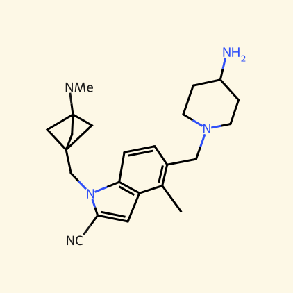 CNC12CC(Cn3c(C#N)cc4c(C)c(CN5CCC(N)CC5)ccc43)(C1)C2